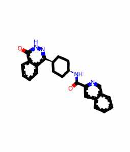 O=C(N[C@H]1CC[C@H](c2n[nH]c(=O)c3ccccc32)CC1)c1cc2ccccc2cn1